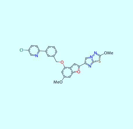 COc1cc(OCc2cccc(-c3ccc(Cl)cn3)c2)c2cc(-c3cn4nc(OC)sc4n3)oc2c1